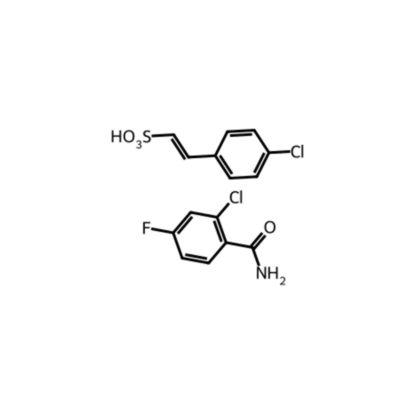 NC(=O)c1ccc(F)cc1Cl.O=S(=O)(O)C=Cc1ccc(Cl)cc1